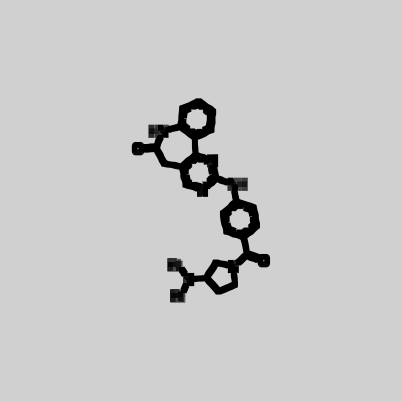 CCN(CC)C1CCN(C(=O)c2ccc(Nc3ncc4c(n3)-c3ccccc3NC(=O)C4)cc2)C1